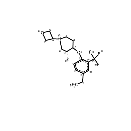 CCc1ccc(OC2CCN(C3COC3)C[C@H]2F)c(C(F)(F)F)c1